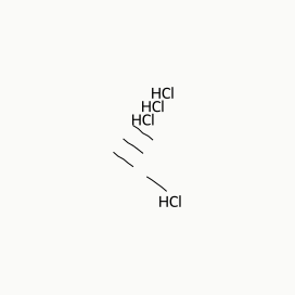 CC.CC.CC.CC.Cl.Cl.Cl.Cl